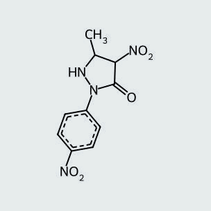 CC1NN(c2ccc([N+](=O)[O-])cc2)C(=O)C1[N+](=O)[O-]